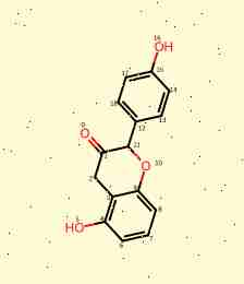 O=C1Cc2c(O)cccc2OC1c1ccc(O)cc1